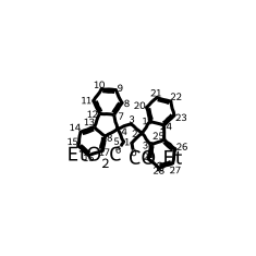 CCOC(=O)CC1(CC2(CC(=O)OCC)c3ccccc3-c3ccccc32)c2ccccc2-c2ccccc21